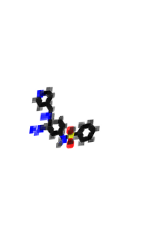 CN(c1ccc(NCc2ccncc2)c(N)c1)S(=O)(=O)c1ccccc1